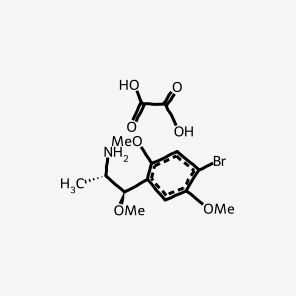 COc1cc([C@@H](OC)[C@H](C)N)c(OC)cc1Br.O=C(O)C(=O)O